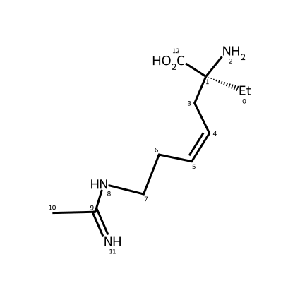 CC[C@](N)(C/C=C\CCNC(C)=N)C(=O)O